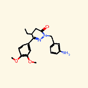 CCC1CC(=O)N(Cc2cccc(N)c2)N=C1c1ccc(OC)c(OC)c1